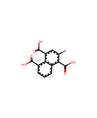 O=C(O)c1c(I)cc(C(=O)O)c2c(C(=O)O)cccc12